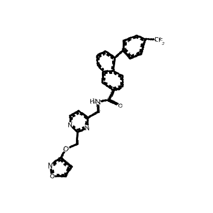 O=C(NCc1ccnc(COc2ccon2)n1)c1ccc2c(-c3ccc(C(F)(F)F)cc3)cccc2c1